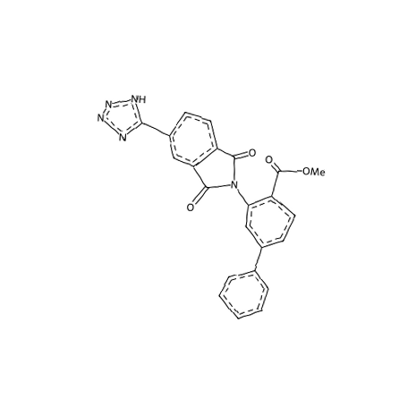 COC(=O)c1ccc(-c2ccccc2)cc1N1C(=O)c2ccc(-c3nnn[nH]3)cc2C1=O